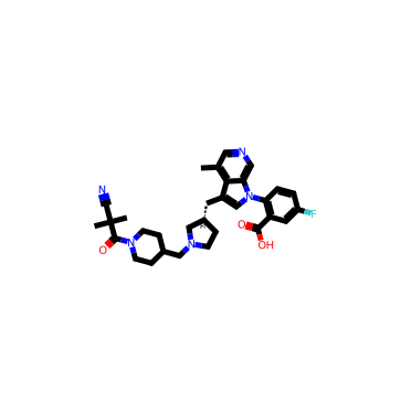 Cc1cncc2c1c(C[C@@H]1CCN(CC3CCN(C(=O)C(C)(C)C#N)CC3)C1)cn2-c1ccc(F)cc1C(=O)O